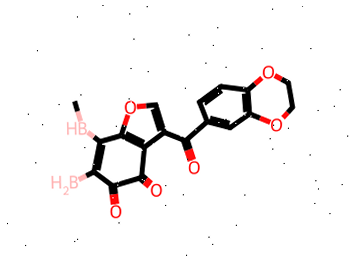 BC1=C(BC)c2occ(C(=O)c3ccc4c(c3)OCCO4)c2C(=O)C1=O